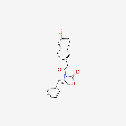 COc1ccc2cc(CC(=O)N3C(=O)OC[C@@H]3Cc3ccccc3)ccc2c1